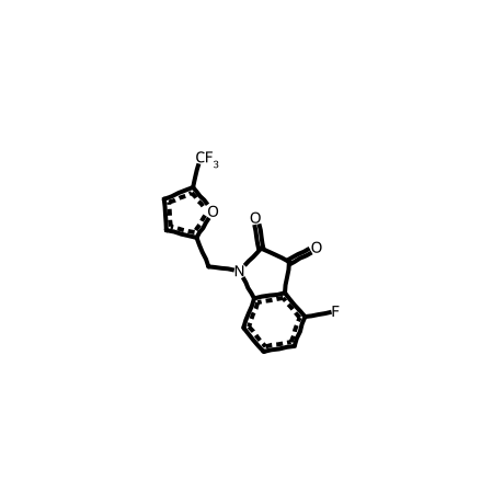 O=C1C(=O)N(Cc2ccc(C(F)(F)F)o2)c2cccc(F)c21